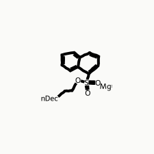 CCCCCCCCCCCCOS(=O)(=O)c1cccc2ccccc12.[Mg]